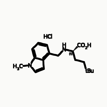 Cl.Cn1ccc2c(CN[C@@H](CCC(C)(C)C)C(=O)O)cccc21